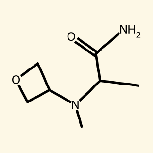 CC(C(N)=O)N(C)C1COC1